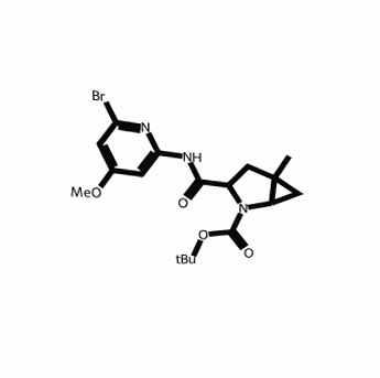 COc1cc(Br)nc(NC(=O)C2CC3(C)CC3N2C(=O)OC(C)(C)C)c1